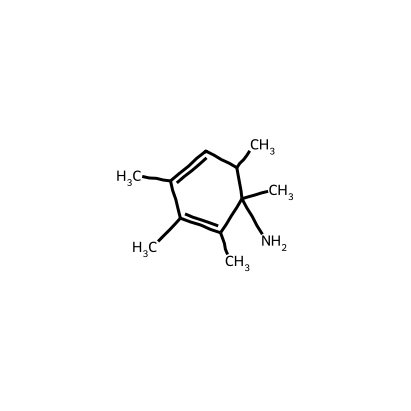 CC1=CC(C)C(C)(N)C(C)=C1C